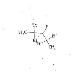 CCC(C)(CC)C(F)C(C)(CC)CC